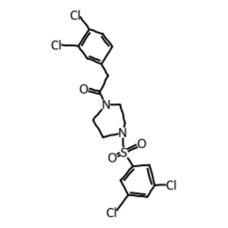 O=C(Cc1ccc(Cl)c(Cl)c1)N1CCN(S(=O)(=O)c2cc(Cl)cc(Cl)c2)CC1